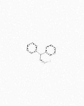 N/C=C\C(c1ccccc1)c1ccccc1